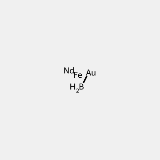 [BH2][Au].[Fe].[Nd]